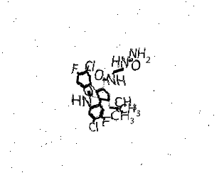 CC(C)(C)C[C@H]1C[C@@H](C(=O)NCCNC(N)=O)[C@H](C2C=CC(F)=C(Cl)C2)[C@@]12C(=O)Nc1cc(Cl)c(F)cc12